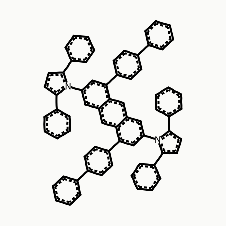 c1ccc(-c2ccc(-c3cc(-n4c(-c5ccccc5)ccc4-c4ccccc4)cc4cc5c(-c6ccc(-c7ccccc7)cc6)cc(-n6c(-c7ccccc7)ccc6-c6ccccc6)cc5cc34)cc2)cc1